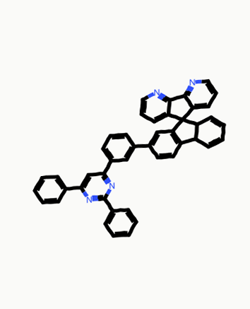 C1=CC2c3ccc(-c4cccc(-c5cc(-c6ccccc6)nc(-c6ccccc6)n5)c4)cc3C3(c4cccnc4-c4ncccc43)C2C=C1